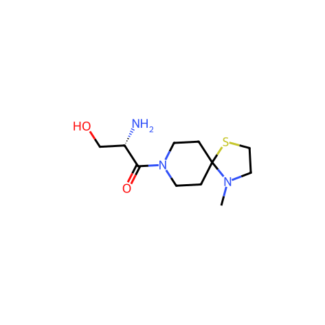 CN1CCSC12CCN(C(=O)[C@@H](N)CO)CC2